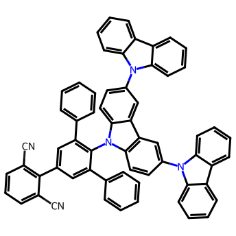 N#Cc1cccc(C#N)c1-c1cc(-c2ccccc2)c(-n2c3ccc(-n4c5ccccc5c5ccccc54)cc3c3cc(-n4c5ccccc5c5ccccc54)ccc32)c(-c2ccccc2)c1